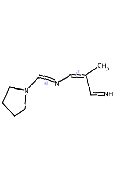 C/C(C=N)=C/N=C/N1CCCC1